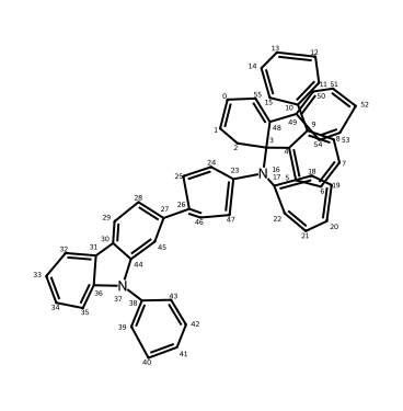 C1=CCC(c2ccccc2-c2ccccc2)(N(c2ccccc2)c2ccc(-c3ccc4c5ccccc5n(-c5ccccc5)c4c3)cc2)C(c2ccccc2)=C1